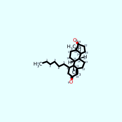 CCCCCCC1CC(=O)C=C2CC[C@@H]3[C@@H](CC[C@]4(C)C(=O)CC[C@@H]34)[C@]21C